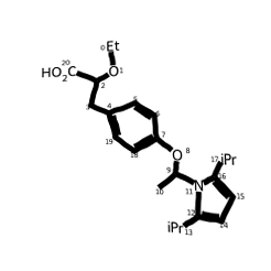 CCOC(Cc1ccc(OC(C)n2c(C(C)C)ccc2C(C)C)cc1)C(=O)O